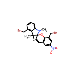 CN1c2cccc(CBr)c2C(C)(C)C12C=Cc1cc([N+](=O)[O-])cc(CBr)c1O2